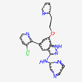 Clc1cccnc1-c1cc(OCCc2ccccn2)c2[nH]nc(Nc3cnccn3)c2c1